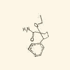 CCOC1(C(N)=O)CCC1c1ccccc1